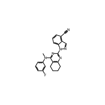 CN(c1cccc(F)c1)c1nc(-n2ncc3c(C#N)cccc32)nc2c1CCCC2